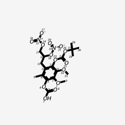 COc1c(OC(=O)O)c(C)c(CC(CO[N+](=O)[O-])O[N+](=O)[O-])c(OC(=O)OC(C)(C)C)c1OC